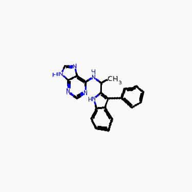 CC(Nc1ncnc2[nH]cnc12)c1[nH]c2ccccc2c1-c1ccccc1